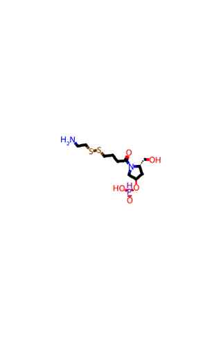 NCCSSCCCC(=O)N1C[C@H](O[PH](=O)O)C[C@H]1CO